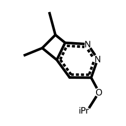 CC(C)Oc1cc2c(nn1)C(C)C2C